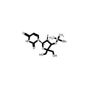 CC(C)(C)[Si](C)(C)OC1[C@H](F)[C@H](n2ccc(=O)[nH]c2=O)OC1(CO)CO